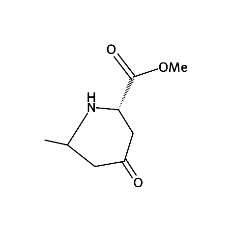 COC(=O)[C@@H]1CC(=O)CC(C)N1